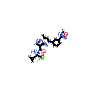 Cc1cc(-c2cccc(-c3ncon3)c2)nc2c(C(=O)NC(C3CC3)C(F)(F)F)cnn12